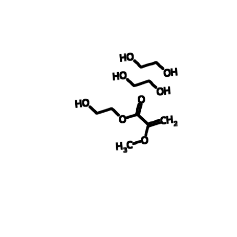 C=C(OC)C(=O)OCCO.OCCO.OCCO